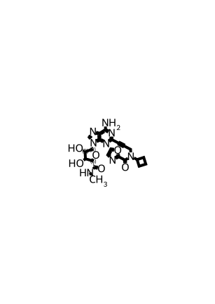 CNC(=O)[C@H]1O[C@@H](n2cnc3c(N)nc(C#CCN(C(=O)c4ncco4)C4CCC4)nc32)[C@H](O)C1O